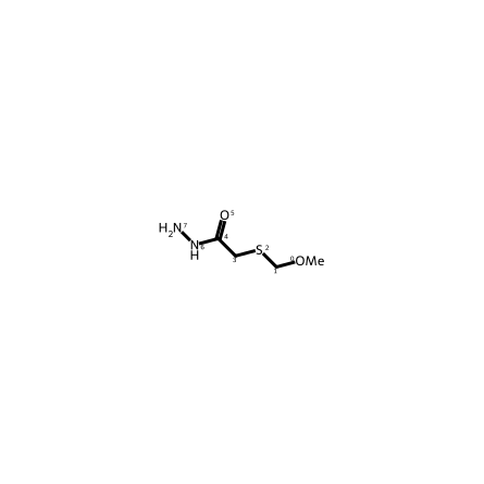 COCSCC(=O)NN